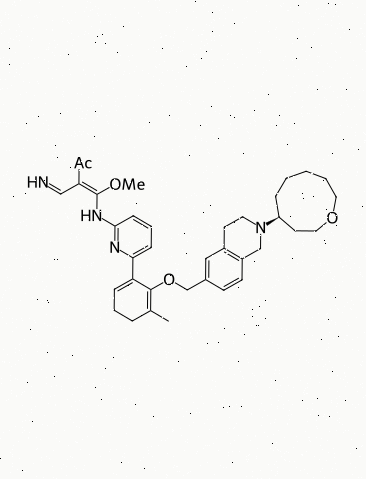 CO/C(Nc1cccc(C2=CCCC(C)=C2OCc2ccc3c(c2)CCN([C@H]2CCCCCOCC2)C3)n1)=C(/C=N)C(C)=O